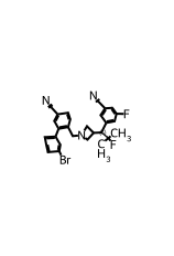 CC(C)(F)[C@H](c1cc(F)cc(C#N)c1)C1CN(Cc2ccc(C#N)cc2-c2cccc(Br)c2)C1